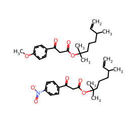 C=CC(C)CCCC(C)(C)OC(=O)CC(=O)c1ccc(OC)cc1.C=CC(C)CCCC(C)(C)OC(=O)CC(=O)c1ccc([N+](=O)[O-])cc1